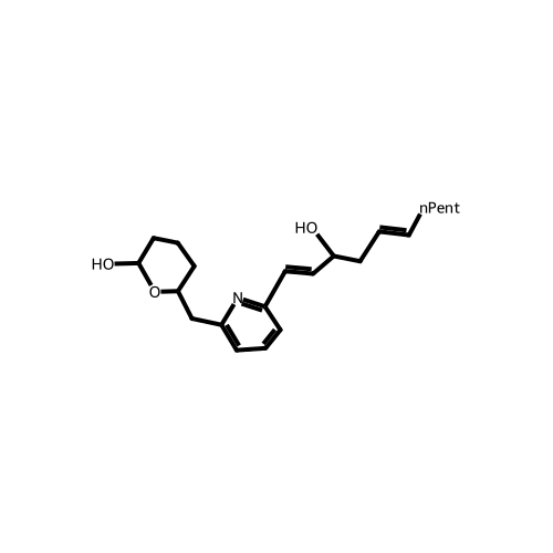 CCCCC/C=C/CC(O)/C=C/c1cccc(CC2CCCC(O)O2)n1